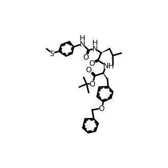 CSc1ccc(NC(=O)N[C@@H](CC(C)C)C(=O)N[C@@H](Cc2ccc(OCc3ccccc3)cc2)C(=O)OC(C)(C)C)cc1